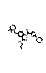 CCCNC(=O)c1cc(CN2CCOCC2(C)C)ccc1NC(=O)c1csc(N2CCOCC2)n1